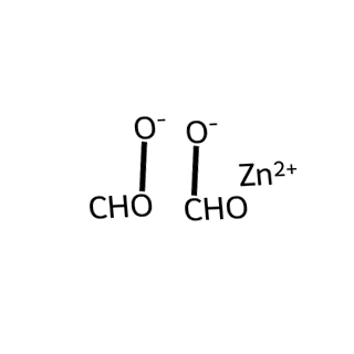 O=C[O-].O=C[O-].[Zn+2]